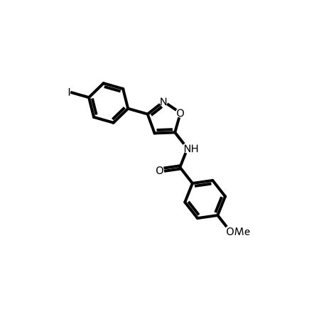 COc1ccc(C(=O)Nc2cc(-c3ccc(I)cc3)no2)cc1